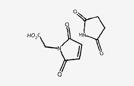 O=C(O)CN1C(=O)C=CC1=O.O=C1CCC(=O)N1